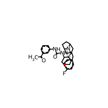 CC(=O)c1cccc(NC(=O)NC2CCCC[C@@H]2CN2C3CCC2CC(Cc2ccc(F)cc2)C3)c1